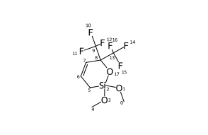 CO[Si]1(OC)CC=CC(C(F)(F)F)(C(F)(F)F)O1